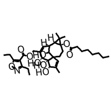 CCCCCCCC(=O)O[C@@]12CCC34C=C(C)[C@H](O)[C@@]3(O)[C@H](O)C(COC(=O)c3c(CC)noc3CC)=C[C@H](C4O)[C@@H]1C2(C)C